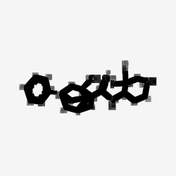 C[C@]12CC3CC1(C(=O)NC1CCNCC1(F)F)C[C@@](c1ccccc1)(C3)C2